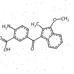 COc1c(C)c(C(=O)c2ccc(N)c(C(=O)O)c2)n2ccccc12